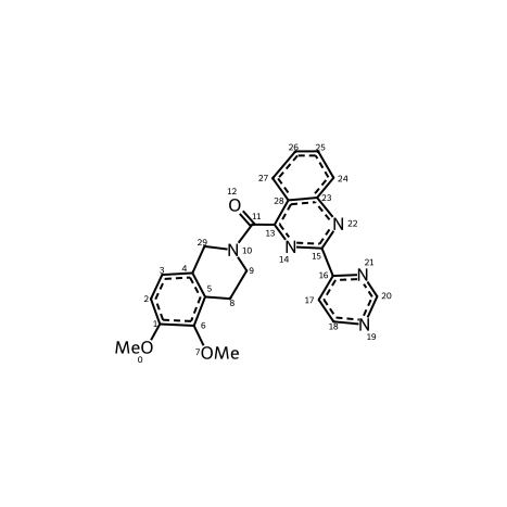 COc1ccc2c(c1OC)CCN(C(=O)c1nc(-c3ccncn3)nc3ccccc13)C2